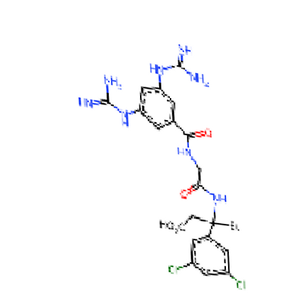 CCC(CC(=O)O)(NC(=O)CNC(=O)c1cc(NC(=N)N)cc(NC(=N)N)c1)c1cc(Cl)cc(Cl)c1